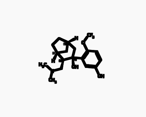 CN(C)C[C@H]1[C@@H]2CC[C@@H](C2)C[C@]1(O)c1cc(O)ccc1OC(F)(F)F